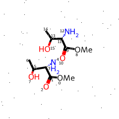 COC(=O)[C@@H](N)C(C)O.COC(=O)[C@@H](N)C(C)O